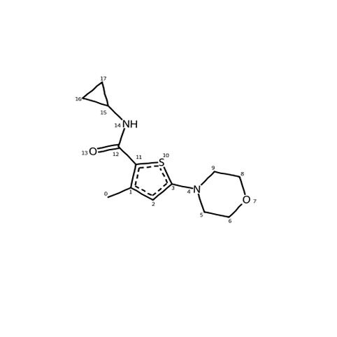 Cc1cc(N2CCOCC2)sc1C(=O)NC1CC1